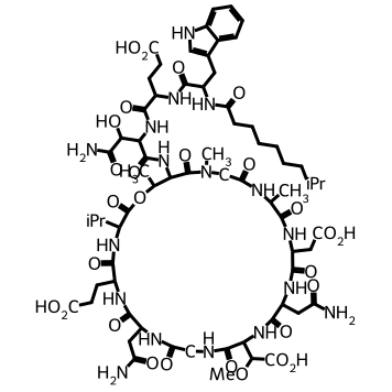 COC(C(=O)O)C1NC(=O)C(CC(N)=O)NC(=O)C(CC(=O)O)NC(=O)C(C)NC(=O)CN(C)C(=O)C(NC(=O)C(NC(=O)C(CCC(=O)O)NC(=O)C(Cc2c[nH]c3ccccc23)NC(=O)CCCCCCC(C)C)C(O)C(N)=O)C(C)OC(=O)C(C(C)C)NC(=O)C(CCC(=O)O)NC(=O)C(CC(N)=O)NC(=O)CNC1=O